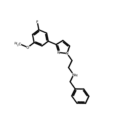 COc1cc(F)cc(-c2ccn(CCNCc3ccccc3)n2)c1